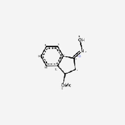 COC1C/C(=N/O)c2ccccc21